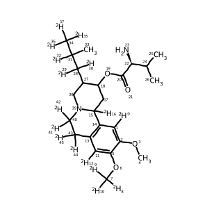 [2H]c1c(OC)c(OC([2H])([2H])[2H])c([2H])c2c1C1([2H])CC(OC(=O)[C@@H](N)C(C)C)C(C([2H])([2H])C([2H])(C)C([2H])([2H])[2H])CN1C([2H])([2H])C2([2H])[2H]